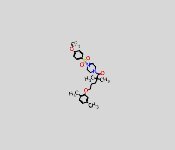 Cc1ccc(C)c(OCCCC(C)(C)C(=O)N2CCN(S(=O)(=O)c3ccc(OC(F)(F)F)cc3)CC2)c1